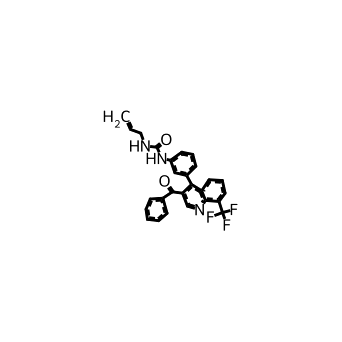 C=CCNC(=O)Nc1cccc(-c2c(C(=O)c3ccccc3)cnc3c(C(F)(F)F)cccc23)c1